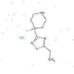 CCc1nc(C2(F)CCNCC2)no1.Cl